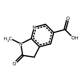 CN1C(=O)Cc2cc(C(=O)O)cnc21